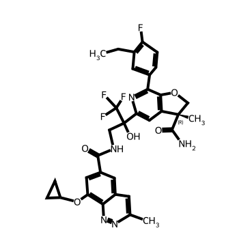 CCc1cc(-c2nc(C(O)(CNC(=O)c3cc(OC4CC4)c4nnc(C)cc4c3)C(F)(F)F)cc3c2OC[C@]3(C)C(N)=O)ccc1F